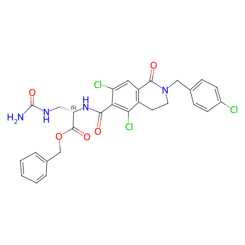 NC(=O)NC[C@H](NC(=O)c1c(Cl)cc2c(c1Cl)CCN(Cc1ccc(Cl)cc1)C2=O)C(=O)OCc1ccccc1